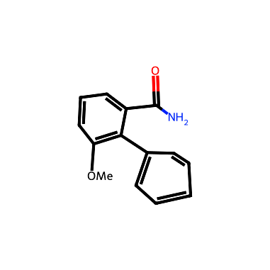 COc1cccc(C(N)=O)c1-c1ccccc1